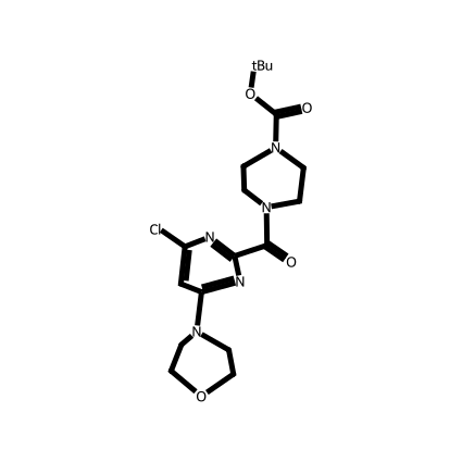 CC(C)(C)OC(=O)N1CCN(C(=O)c2nc(Cl)cc(N3CCOCC3)n2)CC1